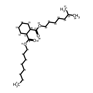 CCCCCCCCOC(=O)C1CCCCC1C(=O)OCCCCCC(C)C